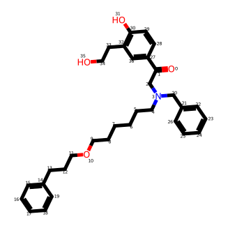 O=C(CN(CCCCCCOCCCc1ccccc1)Cc1ccccc1)c1ccc(O)c(CCO)c1